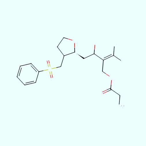 CC/C(C)=C(/COC(=O)COC)C(O)C[C@@H]1OCCC1CS(=O)(=O)c1ccccc1